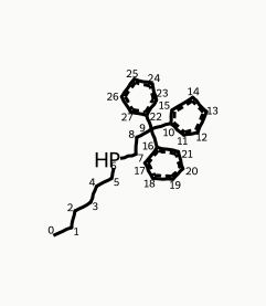 CCCCCCPCCC(c1ccccc1)(c1ccccc1)c1ccccc1